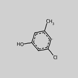 Cc1[c]c(Cl)cc(O)c1